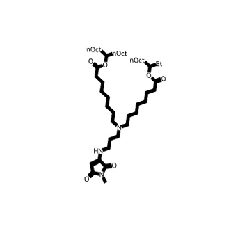 CCCCCCCCC(CC)OC(=O)CCCCCCCN(CCCCCCCC(=O)OC(CCCCCCCC)CCCCCCCC)CCCNC1=CC(=O)N(C)C1=O